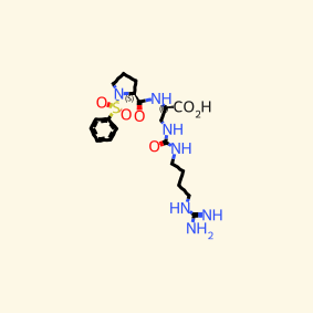 N=C(N)NCCCCNC(=O)NC[C@@H](NC(=O)[C@@H]1CCCN1S(=O)(=O)c1ccccc1)C(=O)O